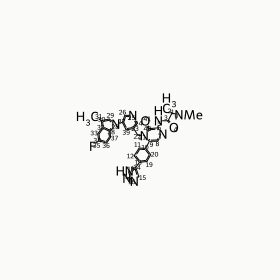 CNC(C)C(=O)Nc1ncc(-c2ccc(-c3cnn[nH]3)cc2)n(Cc2cncc(-n3cc(C)c4cc(F)ccc43)c2)c1=O